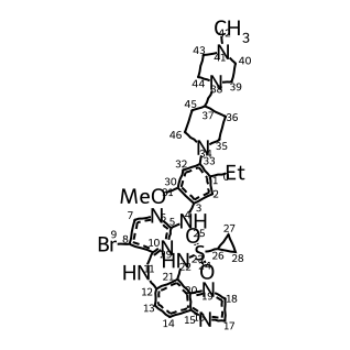 CCc1cc(Nc2ncc(Br)c(Nc3ccc4nccnc4c3NS(=O)(=O)C3CC3)n2)c(OC)cc1N1CCC(N2CCN(C)CC2)CC1